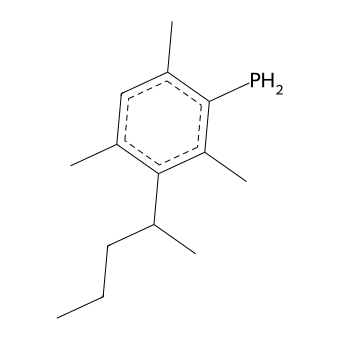 CCCC(C)c1c(C)cc(C)c(P)c1C